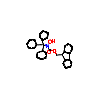 O=C(OCC1c2ccccc2-c2ccccc21)N(O)C(c1ccccc1)(c1ccccc1)c1ccccc1